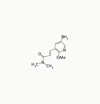 Bc1cnc(OC)c(/C=C/C(=O)N(C)C)c1